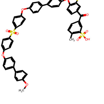 COc1ccc(-c2ccc(Oc3ccc(S(=O)(=O)c4ccc(Oc5ccc(-c6ccc(Oc7ccc(C(=O)c8ccc(C)c(S(=O)(=O)O)c8)cc7S(=O)(=O)O)cc6)cc5)cc4)cc3)cc2)cc1